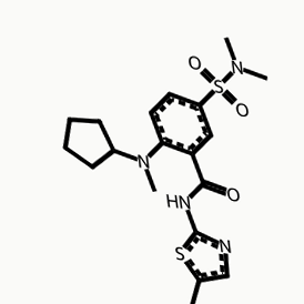 Cc1cnc(NC(=O)c2cc(S(=O)(=O)N(C)C)ccc2N(C)C2CCCC2)s1